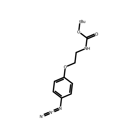 CC(C)(C)OC(=O)NCCOc1ccc(N=[N+]=[N-])cc1